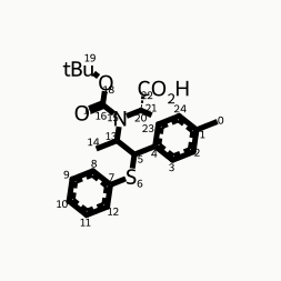 Cc1ccc(C(Sc2ccccc2)C(C)N(C(=O)OC(C)(C)C)[C@@H](C)C(=O)O)cc1